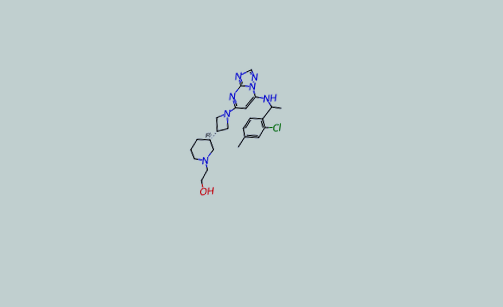 Cc1ccc(C(C)Nc2cc(N3CC([C@H]4CCCN(CCO)C4)C3)nc3ncnn23)c(Cl)c1